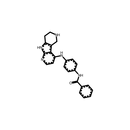 O=C(Nc1ccc(Nc2ccnc3[nH]c4c(c23)CNCC4)cc1)c1ccccc1